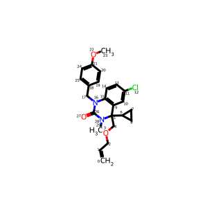 C=CCOCC1(C2CC2)c2cc(Cl)ccc2N(Cc2ccc(OC)cc2)C(=O)N1C